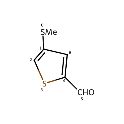 CSc1csc(C=O)c1